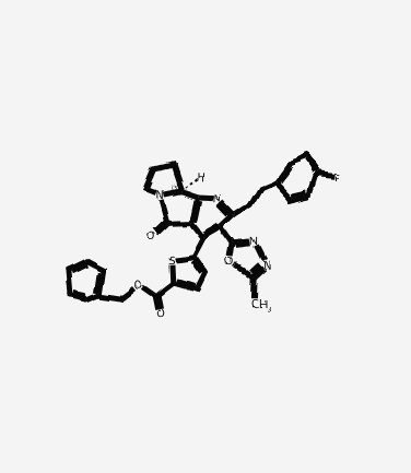 Cc1nnc(-c2c(CCc3ccc(F)cc3)nc3c(c2-c2ccc(C(=O)OCc4ccccc4)s2)C(=O)N2CCC[C@@H]32)o1